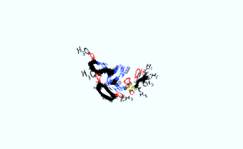 COc1cccc(-c2nnc(NS(=O)(=O)[C@@H](C)[C@H](O)C(C)(C)C)n2-c2c(OC)cccc2OC)n1